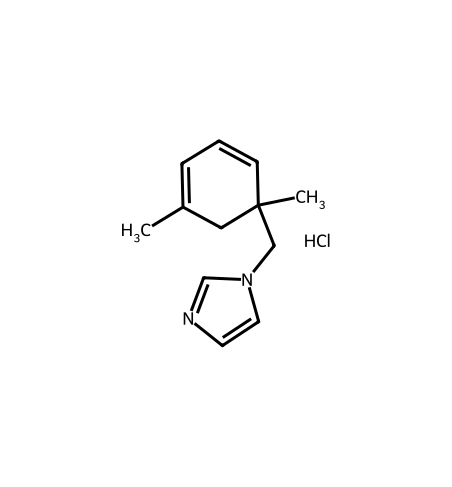 CC1=CC=CC(C)(Cn2ccnc2)C1.Cl